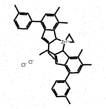 CCC1=Cc2c(-c3cccc(C)c3)cc(C)c(C)c2[CH]1[Zr+2]1([CH]2C(CC)=Cc3c(-c4cccc(C)c4)cc(C)c(C)c32)[CH2][CH2]1.[Cl-].[Cl-]